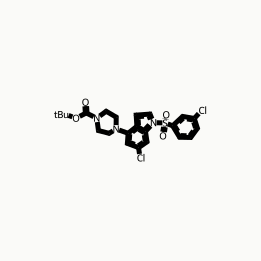 CC(C)(C)OC(=O)N1CCN(c2cc(Cl)cc3c2ccn3S(=O)(=O)c2cccc(Cl)c2)CC1